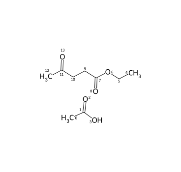 CC(=O)O.CCOC(=O)CCC(C)=O